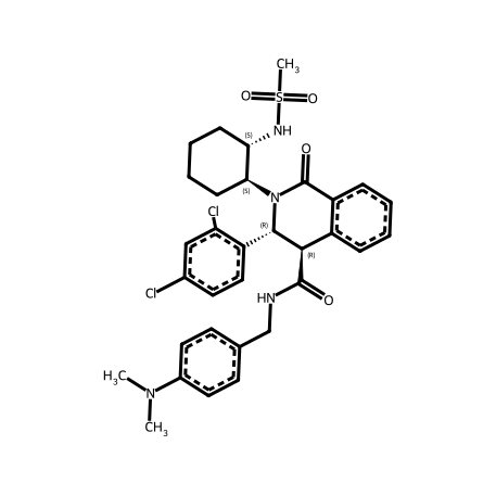 CN(C)c1ccc(CNC(=O)[C@@H]2c3ccccc3C(=O)N([C@H]3CCCC[C@@H]3NS(C)(=O)=O)[C@H]2c2ccc(Cl)cc2Cl)cc1